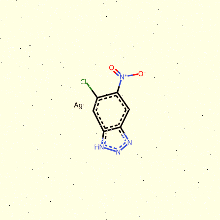 O=[N+]([O-])c1cc2nn[nH]c2cc1Cl.[Ag]